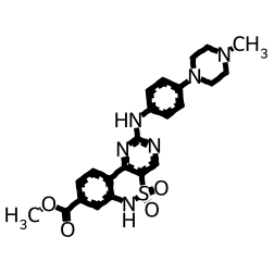 COC(=O)c1ccc2c(c1)NS(=O)(=O)c1cnc(Nc3ccc(N4CCN(C)CC4)cc3)nc1-2